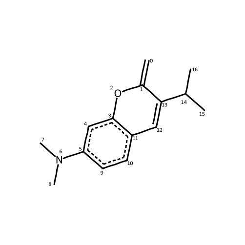 C=C1Oc2cc(N(C)C)ccc2C=C1C(C)C